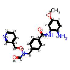 COc1ccc(N)c(NC(=O)c2ccc(CN(C=O)OCc3cccnc3)cc2)c1